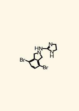 Brc1ccc(Br)c2c1CN(NC1=NCCN1)C2